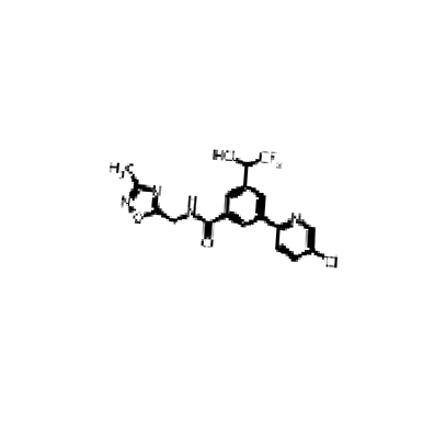 Cc1noc(CNC(=O)c2cc(-c3ccc(Cl)cn3)cc(C(O)C(F)(F)F)c2)n1